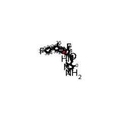 Cc1cc(N)nc(C)c1CNC(=O)c1cc(F)c2c(c1)c1oc2c2c(C)cc(-c3ccc(F)cc3)cc12